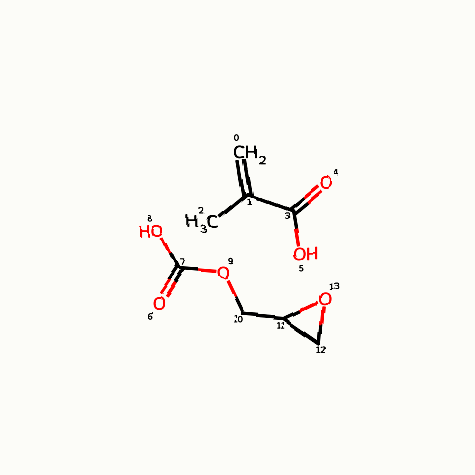 C=C(C)C(=O)O.O=C(O)OCC1CO1